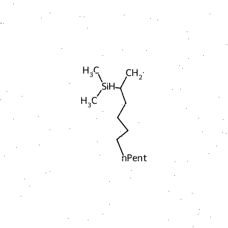 [CH2]C(CCCCCCCCC)[SiH](C)C